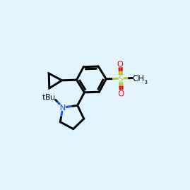 CC(C)(C)N1CCCC1c1cc(S(C)(=O)=O)ccc1C1CC1